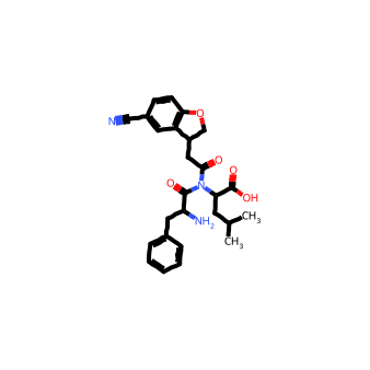 CC(C)CC(C(=O)O)N(C(=O)CC1COc2ccc(C#N)cc21)C(=O)C(N)Cc1ccccc1